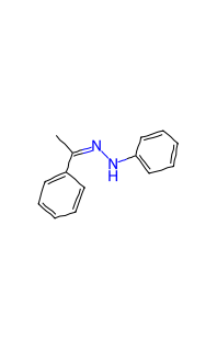 C/C(=N/Nc1ccccc1)c1ccccc1